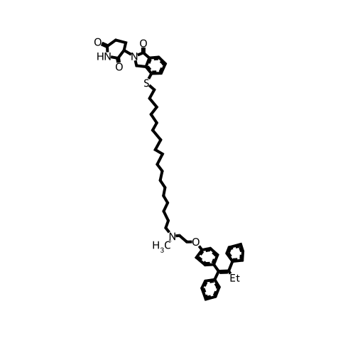 CC/C(=C(\c1ccccc1)c1ccc(OCCN(C)CCCCCCCCCCCCCCCCCCSc2cccc3c2CN(C2CCC(=O)NC2=O)C3=O)cc1)c1ccccc1